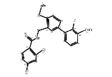 CCCOc1ccc(-c2cccc(C=O)c2F)cc1CNC(=O)c1ccc(Cl)cc1Cl